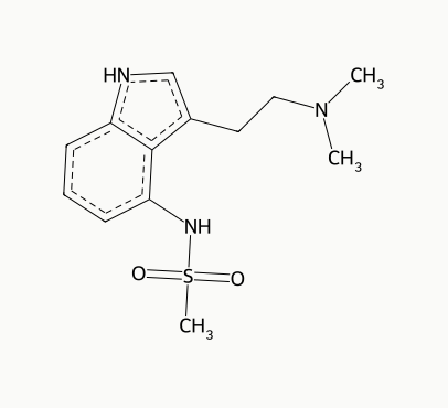 CN(C)CCc1c[nH]c2cccc(NS(C)(=O)=O)c12